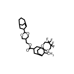 CC1C=C2CC(C(=O)OCC3COC(C4C=C5CCCC(C5)C4)OC3)CC(C2)C12OCC(F)(F)C(F)(F)CO2